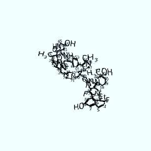 CCc1c(F)ccc2cc(O)cc(-c3ncc4c(N5CCC[C@@](C)(O)C5)nc(OCC5(CN6CCN(Cc7cn(CC(C)CC(=O)[C@]8(C(=O)N[C@@H](C)c9ccc(-c%10scnc%10C)cc9)CC(O)CN8)nn7)CC6)CC5)nc4c3F)c12